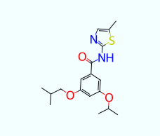 Cc1cnc(NC(=O)c2cc(OCC(C)C)cc(OC(C)C)c2)s1